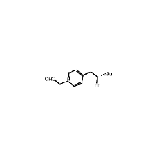 CCCC[C@H](CC)Cc1ccc(CC=O)cc1